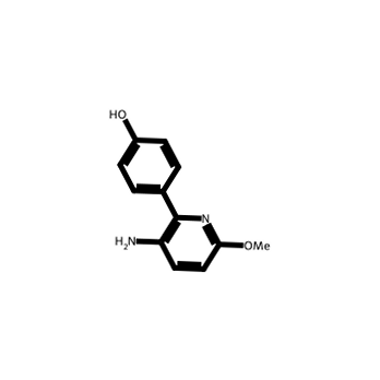 COc1ccc(N)c(-c2ccc(O)cc2)n1